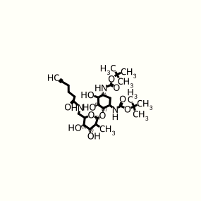 C#CCCCC(=O)NCC1O[C@H](O[C@@H]2C(NC(=O)OC(C)(C)C)C[C@@H](NC(=O)OC(C)(C)C)C(O)[C@H]2O)C(C)[C@@H](O)[C@@H]1O